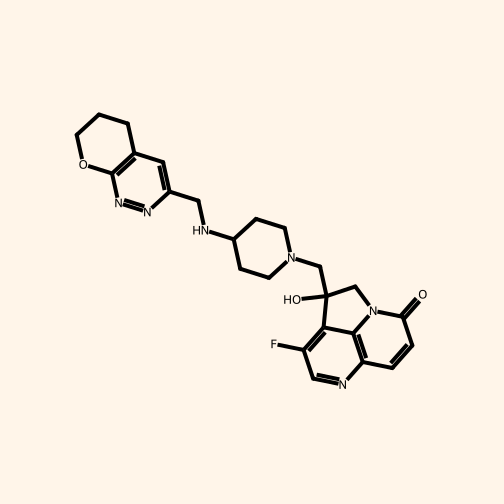 O=c1ccc2ncc(F)c3c2n1CC3(O)CN1CCC(NCc2cc3c(nn2)OCCC3)CC1